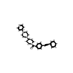 O=C(c1ccc(C#Cc2ccccc2)cc1)N1CCC(N2CCN(c3ccncc3)CC2)CC1